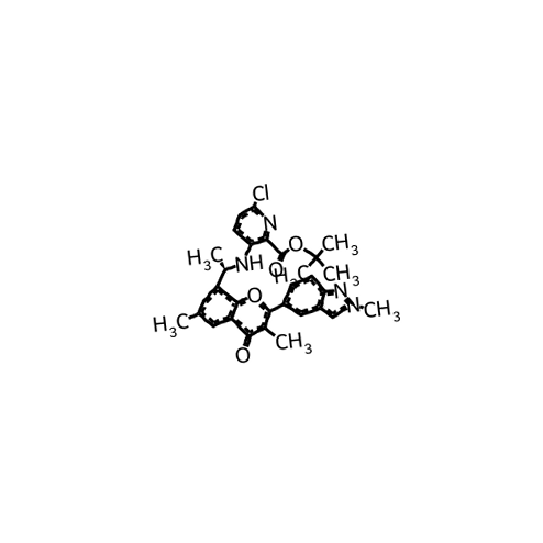 Cc1cc([C@@H](C)Nc2ccc(Cl)nc2C(=O)OC(C)(C)C)c2oc(-c3ccc4nn(C)cc4c3)c(C)c(=O)c2c1